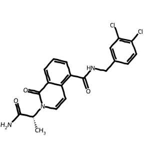 C[C@H](C(N)=O)n1ccc2c(C(=O)NCc3ccc(Cl)c(Cl)c3)cccc2c1=O